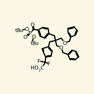 CC(C)(C)OP(=O)(OC(C)(C)C)C(=O)c1ccc(CC(COCc2ccccc2)(COCc2ccccc2)Cc2ccc(C(F)(F)C(=O)O)cc2)cc1